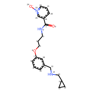 O=C(NCCCOc1cccc(CNCC2CC2)c1)c1ccc[n+]([O-])c1